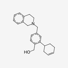 OCc1ccc(CN2CCc3ccccc3C2)cc1C1CC=CCC1